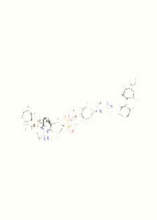 CCC(C)CC(CC)(Nc1ccc(S(=O)(=O)NC(=O)c2ccc(N3CCN(Cc4ccccc4-c4ccc(Cl)cc4)CC3)cc2)cc1[N+](=O)[O-])S(CC)(CC)c1ccccc1